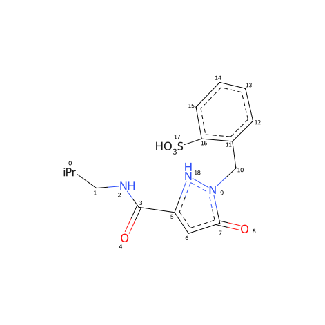 CC(C)CNC(=O)c1cc(=O)n(Cc2ccccc2S(=O)(=O)O)[nH]1